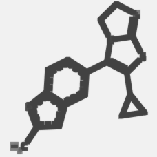 Cc1cc2cc(C3=C(C4CC4)SC4=NCCN43)ccc2s1